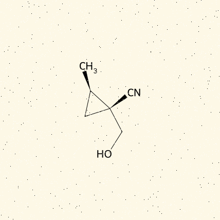 C[C@@H]1C[C@@]1(C#N)CO